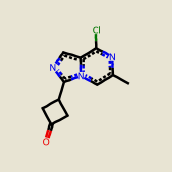 Cc1cn2c(C3CC(=O)C3)ncc2c(Cl)n1